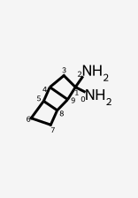 NC1(N)CC2C3CCC3C21